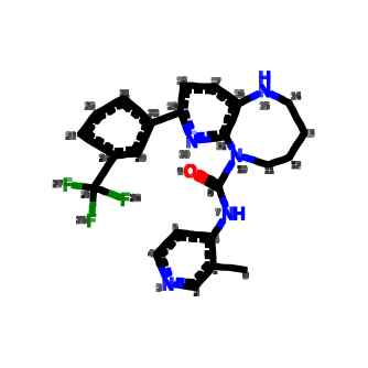 Cc1cnccc1NC(=O)N1CCCCNc2ccc(-c3cccc(C(F)(F)F)c3)nc21